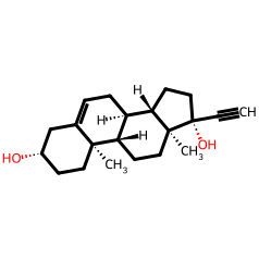 C#C[C@]1(O)CC[C@H]2[C@@H]3CC=C4C[C@@H](O)CC[C@]4(C)[C@H]3CC[C@@]21C